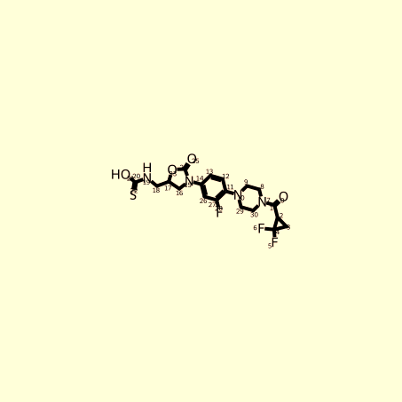 O=C(C1CC1(F)F)N1CCN(c2ccc(N3CC(CNC(O)=S)OC3=O)cc2F)CC1